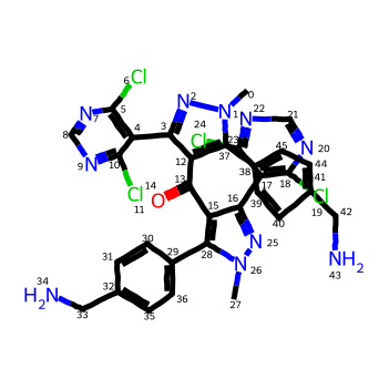 Cn1nc(-c2c(Cl)ncnc2Cl)c(C(=O)c2c(-c3c(Cl)ncnc3Cl)nn(C)c2-c2ccc(CN)cc2)c1-c1ccc(CN)cc1